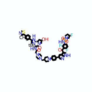 Cc1ncsc1-c1ccc(-c2cnc([C@@H]3C[C@@H](O)CN3C(=O)[C@@H](NC(=O)CN3CCN(CC4CCN(c5ccc(-c6cnc7[nH]cc(C(=O)c8c(F)ccc(NS(=O)(=O)N9CC[C@@H](F)C9)c8F)c7c6)cc5)CC4)CC3)C(C)(C)C)[nH]2)cc1